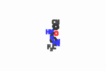 N#Cc1cccc(NC(=O)CN2CCn3c(nnc3C(F)(F)F)C2)c1